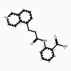 O=C(CCc1cccc2cnccc12)Nc1ccccc1C(=O)O